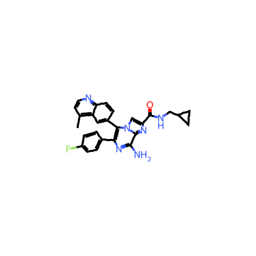 Cc1ccnc2ccc(-c3c(-c4ccc(F)cc4)nc(N)c4nc(C(=O)NCC5CC5)cn34)cc12